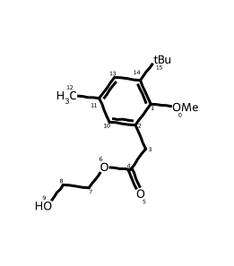 COc1c(CC(=O)OCCO)cc(C)cc1C(C)(C)C